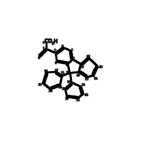 C=C(C(=O)O)c1ccc2c(c1)C(c1ccccc1)(c1ccccc1)c1ccccc1-2